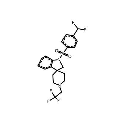 O=S(=O)(c1ccc(C(F)F)cc1)N1CC2(CCN(CC(F)(F)F)CC2)c2ccccc21